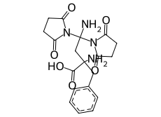 NC(Cc1ccccc1)(CC(N)(N1C(=O)CCC1=O)N1C(=O)CCC1=O)C(=O)O